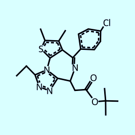 CCc1nnc2n1-c1sc(C)c(C)c1C(c1ccc(Cl)cc1)=NC2CC(=O)OC(C)(C)C